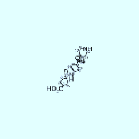 O=C(O)[C@H]1CC[C@H](C(=O)Nc2ccc(-c3nc4c(o3)CCNCC4)cc2)CC1